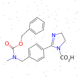 CN(Cc1ccc(C2=NCCN2C(=O)O)cc1)C(=O)OCc1ccccc1